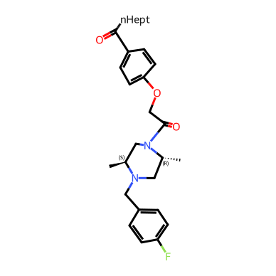 CCCCCCCC(=O)c1ccc(OCC(=O)N2C[C@H](C)N(Cc3ccc(F)cc3)C[C@H]2C)cc1